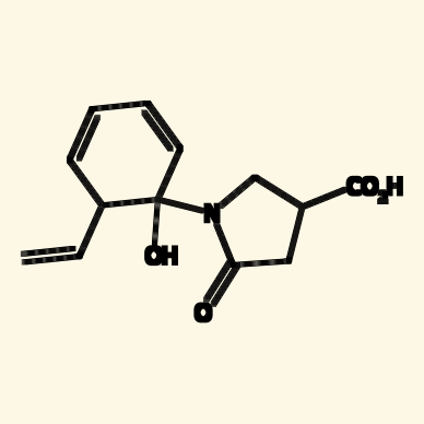 C=CC1C=CC=CC1(O)N1CC(C(=O)O)CC1=O